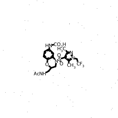 CC(=O)NCC1CN(S(=O)(=O)c2c(C)nn(CC(F)(F)F)c2C)c2cc(NC(=O)O)ccc2O1